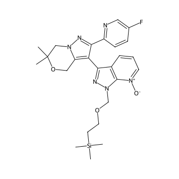 CC1(C)Cn2nc(-c3ccc(F)cn3)c(-c3nn(COCC[Si](C)(C)C)c4c3ccc[n+]4[O-])c2CO1